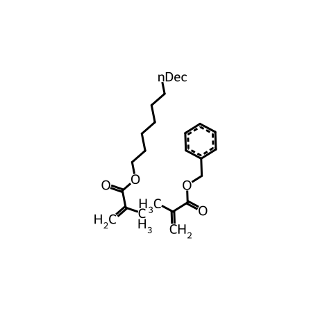 C=C(C)C(=O)OCCCCCCCCCCCCCCCC.C=C(C)C(=O)OCc1ccccc1